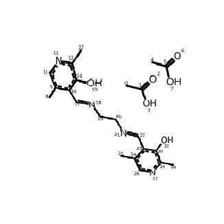 CC(=O)O.CC(=O)O.Cc1cnc(C)c(O)c1/C=N/CC/N=C/c1c(C)cnc(C)c1O